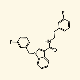 O=C(NCCc1cccc(F)c1)c1cn(Cc2cccc(F)c2)c2ccccc12